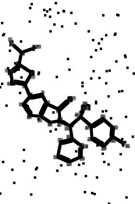 O=C1c2cc(-c3nnc(C(F)F)o3)ccc2CN1[C@H](c1ccccn1)[C@@H](O)c1ccc(F)cc1